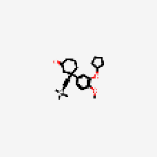 COc1ccc(C2(C#C[Si](C)(C)C)CCCC(=O)C2)cc1OC1CCCC1